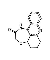 O=C1COC2CCCc3nc4ccccc4c(c32)N1